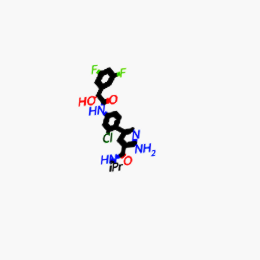 CC(C)NC(=O)c1cc(-c2ccc(NC(=O)[C@H](O)c3cc(F)cc(F)c3)cc2Cl)cnc1N